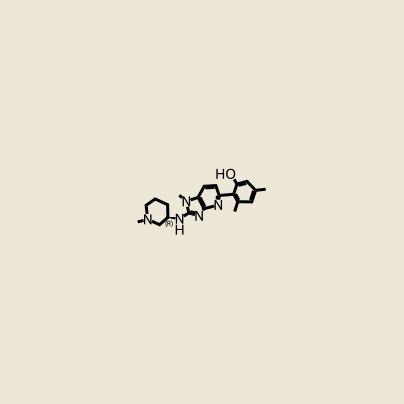 Cc1cc(C)c(-c2ccc3c(n2)nc(N[C@@H]2CCCN(C)C2)n3C)c(O)c1